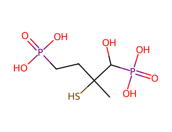 CC(S)(CCP(=O)(O)O)C(O)P(=O)(O)O